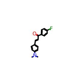 CN(C)c1ccc(/C=C/C(=O)c2ccc(F)cc2)cc1